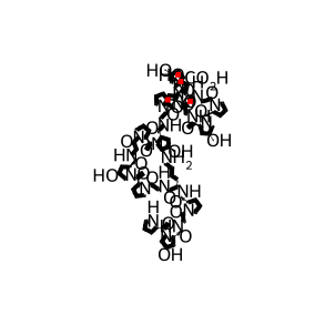 NCCCC[C@H](NC(=O)[C@@H]1CCCN1C(=O)CNC(=O)[C@@H]1C[C@@H](O)CN1C(=O)[C@@H]1CCCN1)C(=O)NCC(=O)N1CCC[C@H]1C(=O)N1C[C@H](O)C[C@H]1C(=O)NCC(=O)N1CCC[C@H]1C(=O)N1C[C@H](O)C[C@H]1C(=O)NCC(=O)N1CCC[C@H]1C(=O)N1C[C@H](O)C[C@H]1C(=O)NCC(=O)N1CCC[C@H]1C(=O)N1C[C@H](O)C[C@H]1C(=O)NCC(=O)N1CCC[C@H]1C(=O)N1C[C@H](O)C[C@H]1C(=O)O